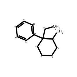 CC1CCCCC1(CO)c1ccccc1